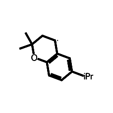 CC(C)c1ccc2c(c1)[CH]CC(C)(C)O2